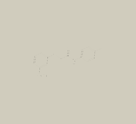 Cc1ccc(NC(=O)COc2cccc(OCC(C)C)c2)cc1